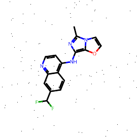 Cc1nc(Nc2ccnc3cc(C(F)F)ccc23)c2occn12